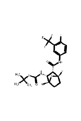 CC(C)(C)OC(=O)N[C@@H]1[C@H](C(=O)Nc2ccc(F)c(C(F)(F)F)c2)[C@@H]2CC[C@H]1O2